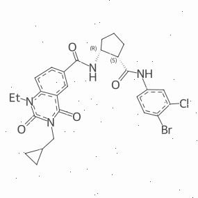 CCn1c(=O)n(CC2CC2)c(=O)c2cc(C(=O)N[C@@H]3CCC[C@@H]3C(=O)Nc3ccc(Br)c(Cl)c3)ccc21